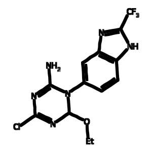 CCOC1N=C(Cl)N=C(N)N1c1ccc2[nH]c(C(F)(F)F)nc2c1